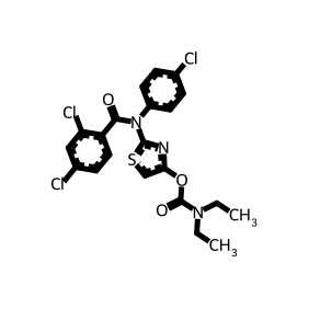 CCN(CC)C(=O)Oc1csc(N(C(=O)c2ccc(Cl)cc2Cl)c2ccc(Cl)cc2)n1